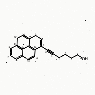 OCCCCC#CC1=CCC2=CCc3cccc4ccc1c2c34